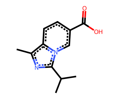 Cc1nc(C(C)C)n2cc(C(=O)O)ccc12